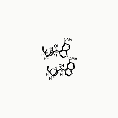 C=C[C@H]1C[N@]2CC[C@H]1C[C@@H]2[C@@H](O)c1ccnc2ccc(OC)cc12.C=C[C@H]1C[N@]2CC[C@H]1C[C@@H]2[C@@H](O)c1ccnc2ccc(OC)cc12